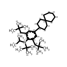 CC(C)N(c1c(CC(C)(C)C)cc(C2CCC3(CCCCC3)CC2)cc1CC(C)(C)C)C(C)(C)C